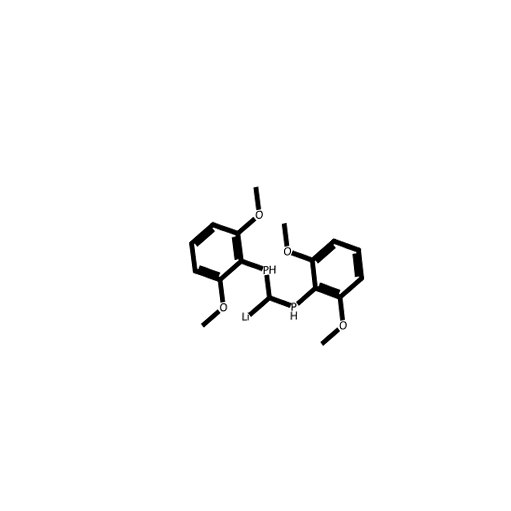 [Li][CH](Pc1c(OC)cccc1OC)Pc1c(OC)cccc1OC